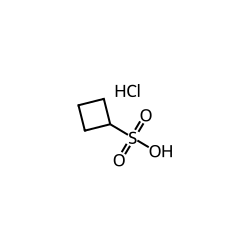 Cl.O=S(=O)(O)C1CCC1